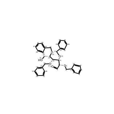 O=C[C@@H](OCc1ccccc1)[C@@H](OCc1ccccc1)[C@H](OCc1ccccc1)[C@H](CO)OCc1ccccc1